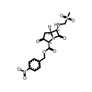 CS(=O)(=O)CN[C@H]1C(=O)N2[C@@H](C(=O)OCc3ccc([N+](=O)[O-])cc3)C(=O)C[C@H]12